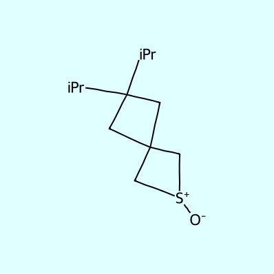 CC(C)C1(C(C)C)CC2(C[S+]([O-])C2)C1